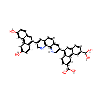 Oc1ccc2cc(-c3cnc4c(ccc5cc(-c6cc7ccc(C(O)O)cc7c7cc(C(O)O)ccc67)cnc54)c3)c3ccc(O)cc3c2c1